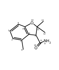 Cc1cc[c]c2c1C(C(N)=O)C(C)(C)O2